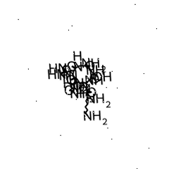 N=C1NCCC(C2NC(=O)/C(=C/NC(N)=O)NC(=O)C(CNC(=O)CC(N)CCCCCN)NC(=O)C(CO)NC(=O)C(N)CNC2=O)N1